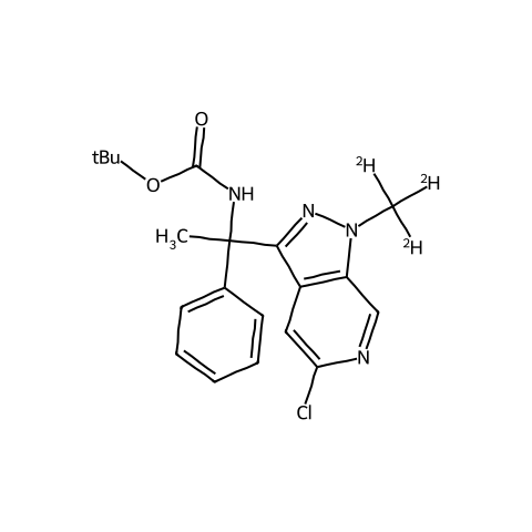 [2H]C([2H])([2H])n1nc(C(C)(NC(=O)OC(C)(C)C)c2ccccc2)c2cc(Cl)ncc21